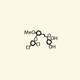 COc1ccc(/C=C/C(=O)c2ccc(O)cc2O)cc1COc1ccc(Cl)cc1Cl